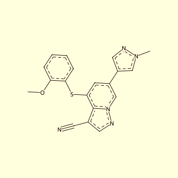 COc1ccccc1Sc1cc(-c2cnn(C)c2)cn2ncc(C#N)c12